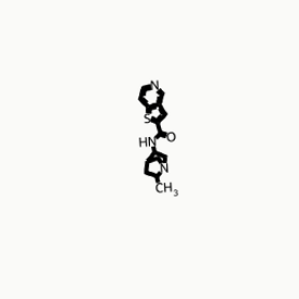 CC1CC2CN1CC2NC(=O)c1cc2cnccc2s1